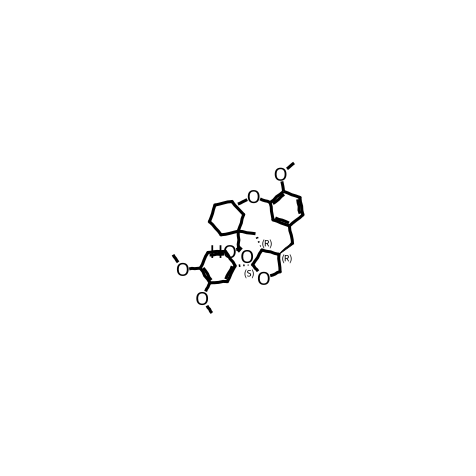 COc1ccc(C[C@H]2CO[C@H](c3ccc(OC)c(OC)c3)[C@@H]2CC2(C(=O)O)CCCCC2)cc1OC